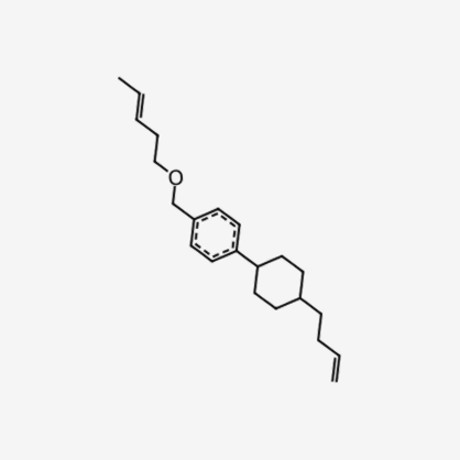 C=CCCC1CCC(c2ccc(COCCC=CC)cc2)CC1